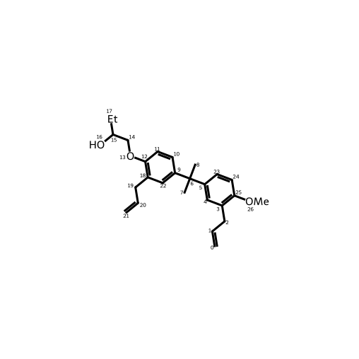 C=CCc1cc(C(C)(C)c2ccc(OCC(O)CC)c(CC=C)c2)ccc1OC